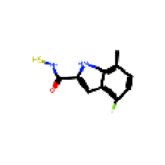 Cc1ccc(F)c2cc(C(=O)NS)[nH]c12